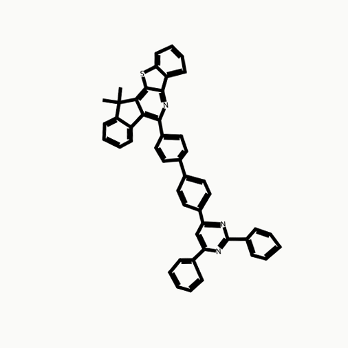 CC1(C)c2ccccc2-c2c(-c3ccc(-c4ccc(-c5cc(-c6ccccc6)nc(-c6ccccc6)n5)cc4)cc3)nc3c(sc4ccccc43)c21